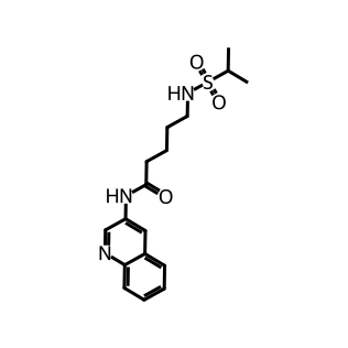 CC(C)S(=O)(=O)NCCCCC(=O)Nc1cnc2ccccc2c1